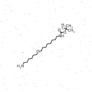 CC(C)(C)OC(=O)NCCCCCCCCOCCCCCCN